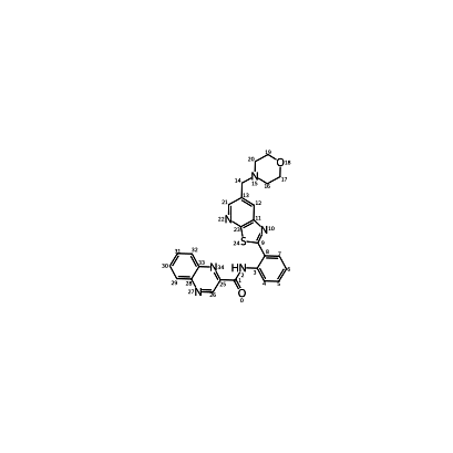 O=C(Nc1ccccc1-c1nc2cc(CN3CCOCC3)cnc2s1)c1cnc2ccccc2n1